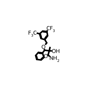 CC(O)(C(N)=O)C(OCc1cc(C(F)(F)F)cc(C(F)(F)F)c1)c1ccccc1